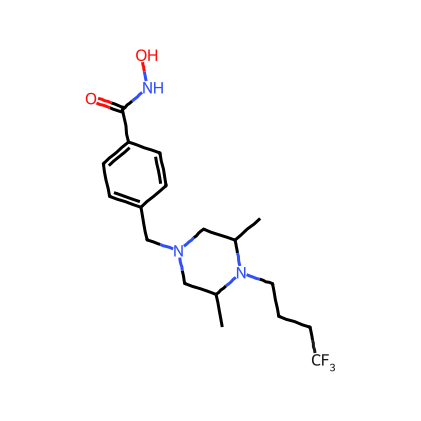 CC1CN(Cc2ccc(C(=O)NO)cc2)CC(C)N1CCCC(F)(F)F